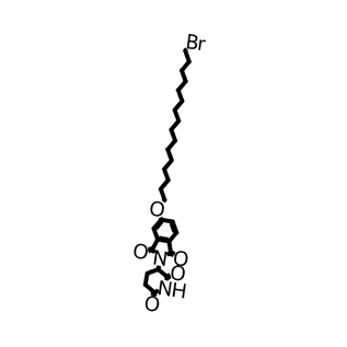 O=C1CCC(N2C(=O)c3ccc(OCCCCCCCCCCCCCCCCBr)cc3C2=O)C(=O)N1